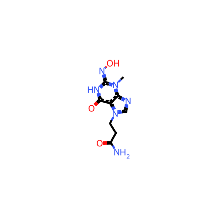 Cn1c(=NO)[nH]c(=O)c2c1ncn2CCC(N)=O